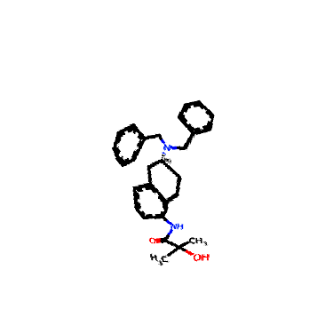 CC(C)(O)C(=O)Nc1cccc2c1CC[C@@H](N(Cc1ccccc1)Cc1ccccc1)C2